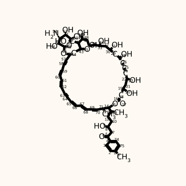 Cc1ccc(C(=O)CC(O)CCC(C)C2OC(=O)CC(O)CC(O)CCCC(O)CC(O)CC(O)CC3(O)CC(O)C(C(=O)O)C(CC(OC4O[C@H](C)[C@@H](O)[C@H](N)[C@@H]4O)/C=C/C=C/C=C/C=C\C=C/C=C/C=C/C2C)O3)cc1